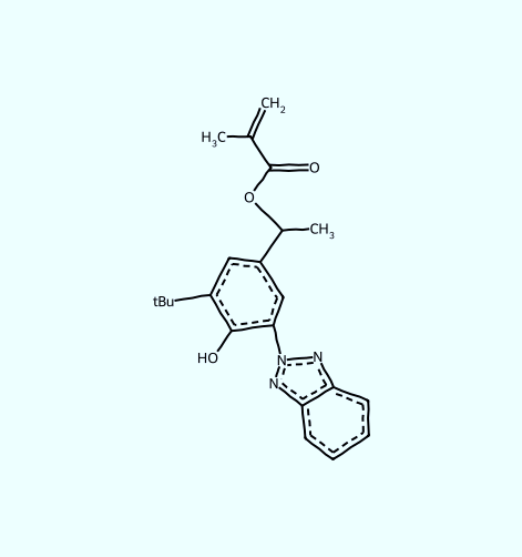 C=C(C)C(=O)OC(C)c1cc(-n2nc3ccccc3n2)c(O)c(C(C)(C)C)c1